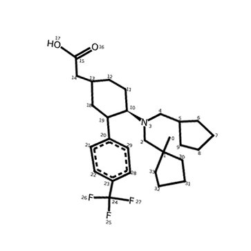 CC1(CN(CC2CCCC2)[C@@H]2CCC(CC(=O)O)CC2c2ccc(C(F)(F)F)cc2)CCCC1